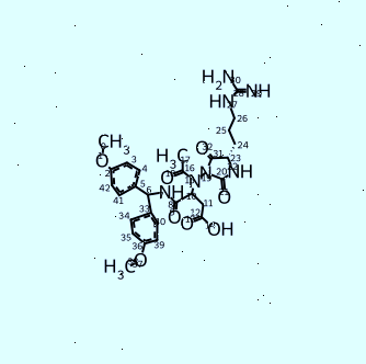 COc1ccc(C(NC(=O)C(CC(=O)O)N(C(C)=O)N2C(=O)N[C@@H](CCCNC(=N)N)C2=O)c2ccc(OC)cc2)cc1